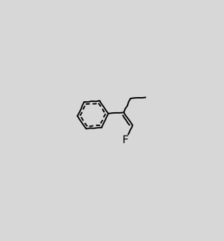 CC/C(=C/F)c1ccccc1